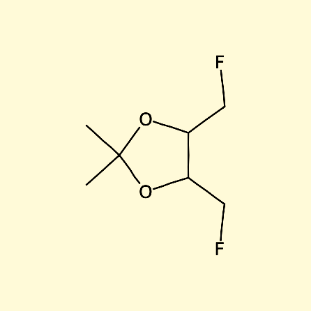 CC1(C)OC(CF)C(CF)O1